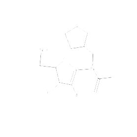 C=C(C)N(CC1CCCC1)C1=C(C(C)=O)C(CC)C(CN)S1